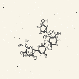 Cc1cc(-n2nc(C(F)F)c(=O)[nH]c2=O)cc(Cl)c1Oc1ccc(O)c(S(=O)(=O)N2CC[C@@H](O)C2)c1